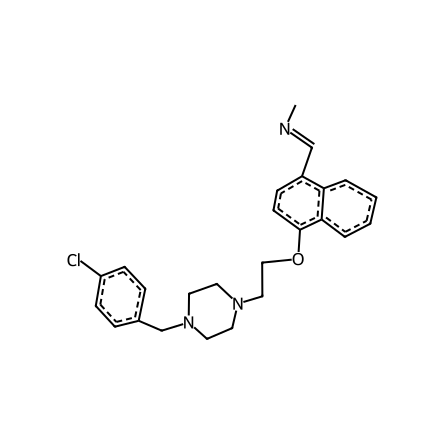 C/N=C/c1ccc(OCCN2CCN(Cc3ccc(Cl)cc3)CC2)c2ccccc12